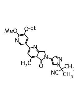 CCOc1cc(-c2cc(C)c3c(n2)CN(c2cnn(C(C)(C)C#N)c2)C3=O)cnc1OC